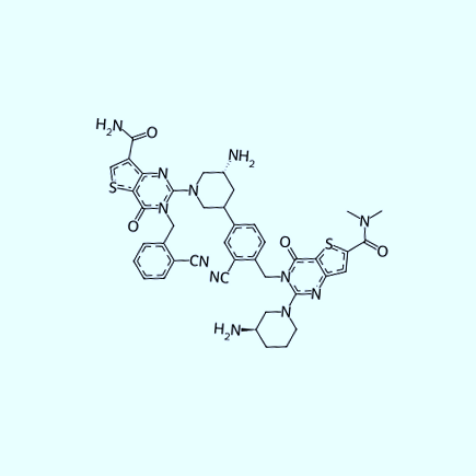 CN(C)C(=O)c1cc2nc(N3CCC[C@@H](N)C3)n(Cc3ccc(C4C[C@@H](N)CN(c5nc6c(C(N)=O)csc6c(=O)n5Cc5ccccc5C#N)C4)cc3C#N)c(=O)c2s1